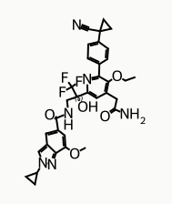 CCOc1c(CC(N)=O)cc([C@@](O)(CNC(=O)c2cc(OC)c3nn(C4CC4)cc3c2)C(F)(F)F)nc1-c1ccc(C2(C#N)CC2)cc1